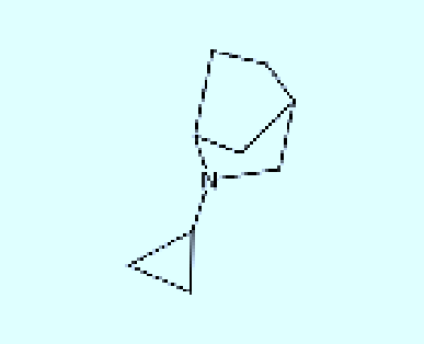 C1CC2CC1CN2C1CC1